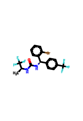 C[C@H](NC(=O)N[C@@H](c1ccc(C(F)(F)F)cc1)c1ccccc1Br)C(F)(F)F